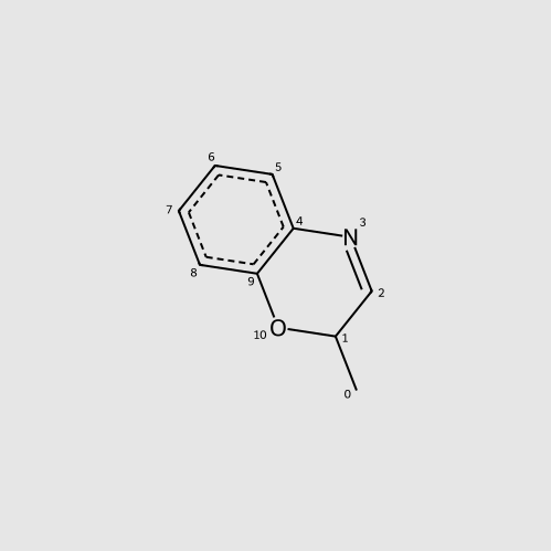 CC1C=Nc2ccccc2O1